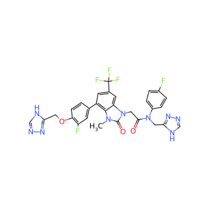 Cn1c(=O)n(CC(=O)N(Cc2nnc[nH]2)c2ccc(F)cc2)c2cc(C(F)(F)F)cc(-c3ccc(OCc4nnc[nH]4)c(F)c3)c21